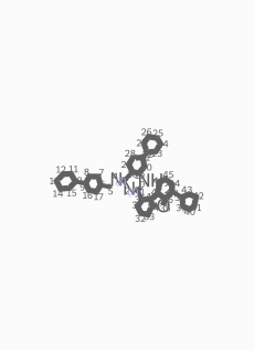 N/C(=N\C(=N/Cc1ccc(-c2ccccc2)cc1)c1ccc(-c2ccccc2)cc1)c1cccc2oc3c(-c4ccccc4)cccc3c12